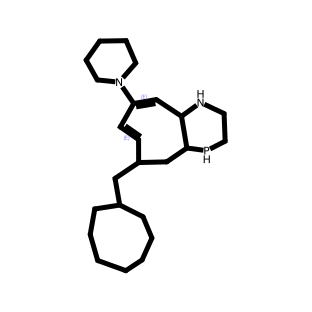 C1=C/C(CC2CCCCCCC2)CC2PCCNC2\C=C/1N1CCCCC1